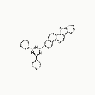 c1ccc(-c2nc(-c3ccccc3)nc(-c3ccc4c(ccc5c4ccc4c6ccccc6sc45)c3)n2)cc1